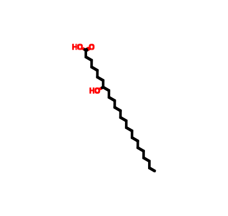 CCCCCCCCCCCCCCCCCC(O)CCCCCCC(=O)O